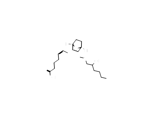 CCCCC(O)CSC[C@@H]1[C@H](C/C=C\CCCC(=O)O)[C@@H]2CC[C@H]1O2